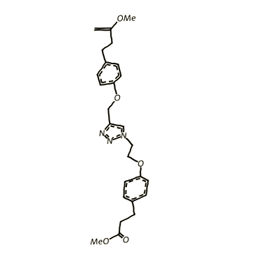 C=C(CCc1ccc(OCc2cn(CCOc3ccc(CCC(=O)OC)cc3)nn2)cc1)OC